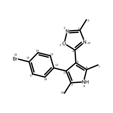 Cc1noc(-c2c(C)[nH]c(C)c2-c2ccc(Br)cc2)n1